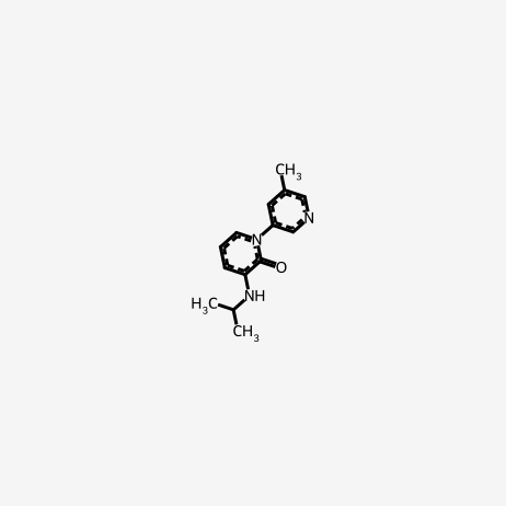 Cc1cncc(-n2cccc(NC(C)C)c2=O)c1